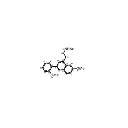 COc1ccc2cc(-c3ccccc3OC)cc(CCNC(C)=O)c2c1